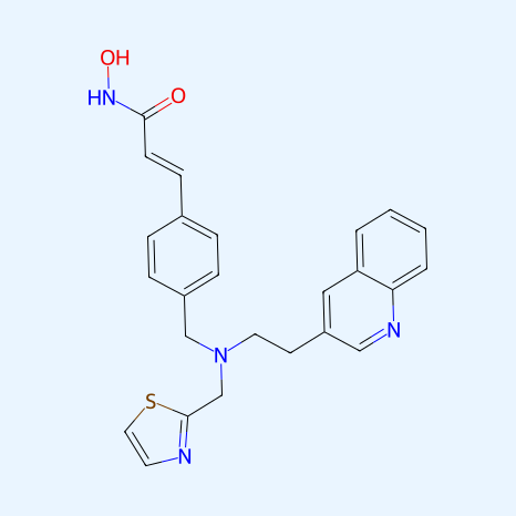 O=C(/C=C/c1ccc(CN(CCc2cnc3ccccc3c2)Cc2nccs2)cc1)NO